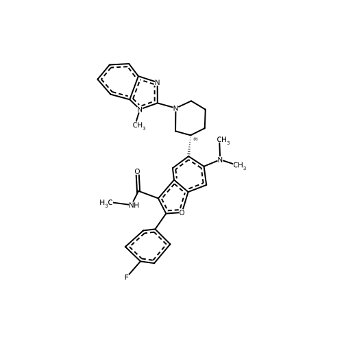 CNC(=O)c1c(-c2ccc(F)cc2)oc2cc(N(C)C)c([C@H]3CCCN(c4nc5ccccc5n4C)C3)cc12